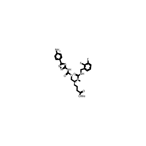 COC(=O)CCC[C@@H](COC(=O)Nc1nnc(-c2ccc(N)cc2)s1)N(C)C(=O)NCc1cccc(F)c1F